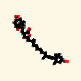 CC1=C(C#C/C(C)=C/C=C/C=C/C=C(C)/C=C2C=C(/C=C/[C@@]34O[C@]3(C)C[C@@H](O)CC4(C)C)C(=O)O/2)C(C)(C)C[C@H](O)C1